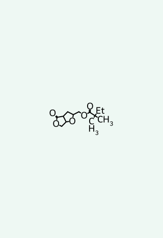 CCC(C)(C)C(=O)OCC1CC2C(=O)OCC2O1